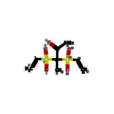 C=CS(=O)(=O)C(C)(C(=O)NC)S(=O)(=O)C=C